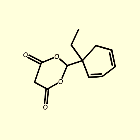 CCC1(C2OC(=O)CC(=O)O2)C=CC=CC1